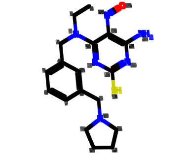 CCN(Cc1cccc(CN2CCCC2)c1)c1nc(S)nc(N)c1N=O